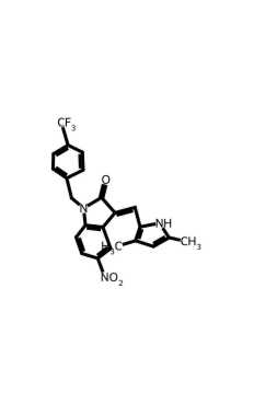 Cc1cc(C)c(C=C2C(=O)N(Cc3ccc(C(F)(F)F)cc3)c3ccc([N+](=O)[O-])cc32)[nH]1